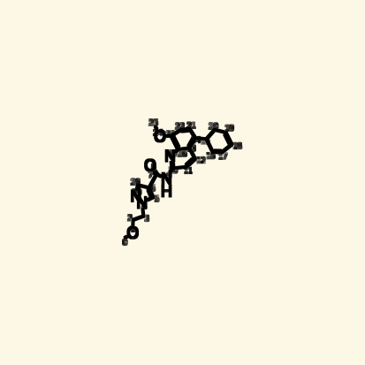 COCCn1cc(C(=O)Nc2ccc3c(C4C=CC=CC4)ccc(OC)c3n2)cn1